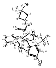 CC(C)(C)C[C@H]1N[C@@H](C(=O)N[C@H]2C[C@](C)(O)C2)[C@H](c2cccc(Cl)c2F)[C@@]12C(=O)Nc1cc(Cl)c(F)cc12